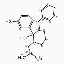 Cc1cccc(C2(O)C(=Cc3ccccc3)CCCC2CN(C)C)c1